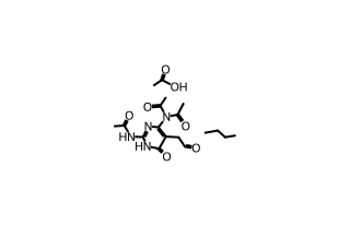 CC(=O)Nc1nc(N(C(C)=O)C(C)=O)c(CC=O)c(=O)[nH]1.CC(=O)O.CCCC